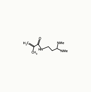 C=C(C)C(=O)NCCC(NC)NC